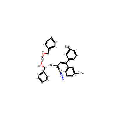 CCCCC(=C=[N+]=[N-])C=C(c1cccc(CC)c1)c1cccc(CCCC)c1.c1ccc(C[O][Pd][O]Cc2ccccc2)cc1